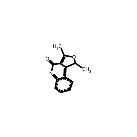 CC1=C2C(=O)N=c3ccccc3=C2C(C)O1